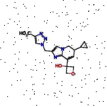 O=C(O)c1cn(Cc2cn3c(n2)C(C2(O)COC2)=CC(C2CC2)C3)nn1